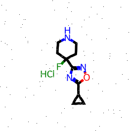 Cl.FC1(c2noc(C3CC3)n2)CCNCC1